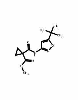 COC(=O)C1(C(=O)Nc2cc(C(C)(C)C)on2)CC1